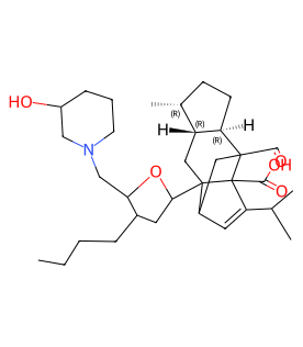 CCCCC1CC(C23C[C@@H]4[C@H](C)CC[C@H]4C4(C=O)CC2C=C(C(C)C)C34C(=O)O)OC1CN1CCCC(O)C1